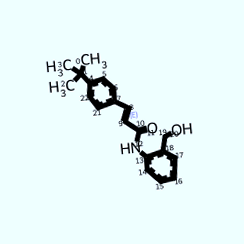 CC(C)(C)c1ccc(/C=C/C(=O)Nc2ccccc2CO)cc1